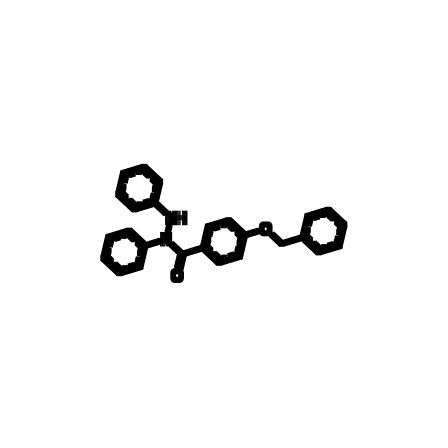 O=C(c1ccc(OCc2ccccc2)cc1)N(Nc1ccccc1)c1ccccc1